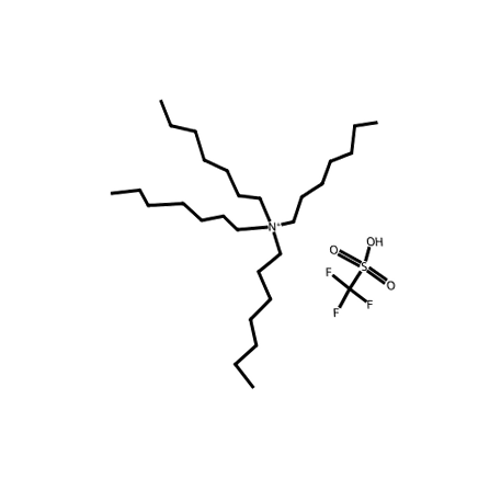 CCCCCCC[N+](CCCCCCC)(CCCCCCC)CCCCCCC.O=S(=O)(O)C(F)(F)F